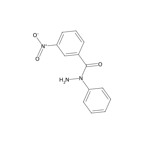 NN(C(=O)c1cccc([N+](=O)[O-])c1)c1ccccc1